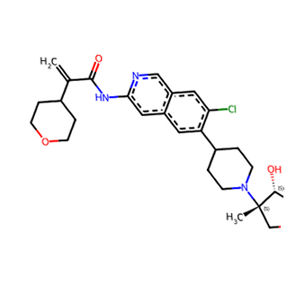 C=C(C(=O)Nc1cc2cc(C3CCN([C@@]4(C)COC[C@H]4O)CC3)c(Cl)cc2cn1)C1CCOCC1